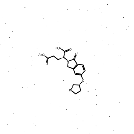 CC(=O)OC(=O)CC[C@@H](C(N)=O)N1Cc2cc(O[C@H]3CCNC3)ccc2C1=O